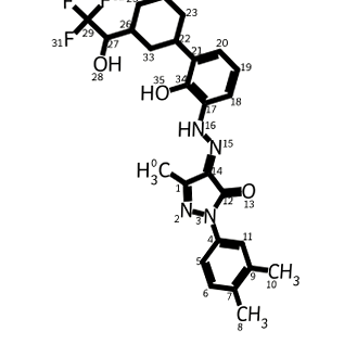 CC1=NN(c2ccc(C)c(C)c2)C(=O)/C1=N/Nc1cccc(C2CCCC(C(O)C(F)(F)F)C2)c1O